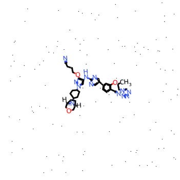 CC(Cn1cnnn1)Oc1cc(-c2cnc(Nc3cn(C4CCC(N5[C@@H]6CC[C@H]5COC6)CC4)nc3OCCCC#N)nc2)ccc1C#N